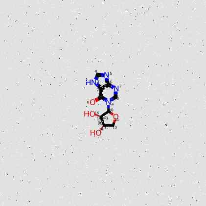 O=c1c2[nH]cnc2ncn1C1OC[C@@H](O)[C@H]1O